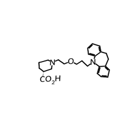 O=C(O)[C@@H]1CCCN(CCOCCCN2c3ccccc3CCc3ccccc32)C1